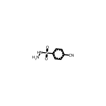 N#Cc1ccc(S(=O)(=O)NN)cc1